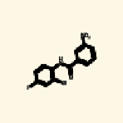 O=C(Nc1ccc(F)cc1Cl)c1cccc([N+](=O)[O-])c1